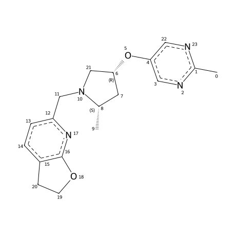 Cc1ncc(O[C@@H]2C[C@H](C)N(Cc3ccc4c(n3)OCC4)C2)cn1